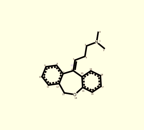 CN(C)CC/C=C1/c2ccccc2COc2cc[c]cc21